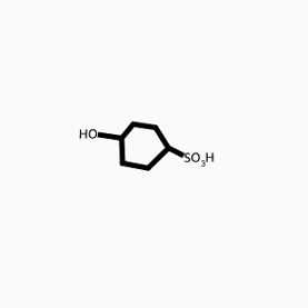 O=S(=O)(O)C1CCC(O)CC1